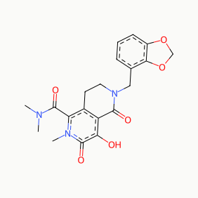 CN(C)C(=O)c1c2c(c(O)c(=O)n1C)C(=O)N(Cc1cccc3c1OCO3)CC2